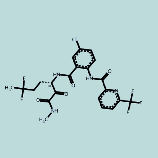 CNC(=O)C(=O)[C@H](CCC(C)(F)F)NC(=O)c1cc(Cl)ccc1NC(=O)c1cccc(C(F)(F)F)n1